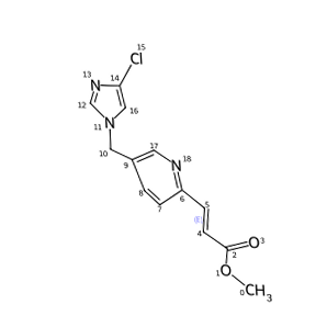 COC(=O)/C=C/c1ccc(Cn2cnc(Cl)c2)cn1